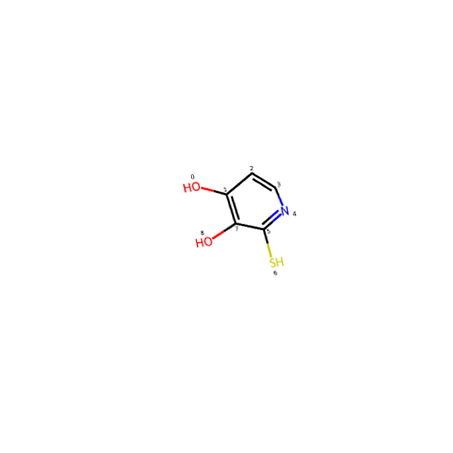 Oc1ccnc(S)c1O